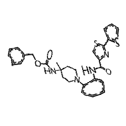 CC1(NC(=O)OCc2ccccc2)CCN(c2ccccc2NC(=O)c2csc(-c3cccs3)n2)CC1